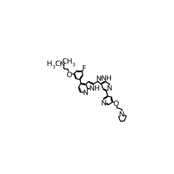 CN(C)CCOc1cc(F)cc(-c2ccnc3[nH]c(-c4n[nH]c5cnc(-c6cncc(OCCN7CCCC7)c6)cc45)cc23)c1